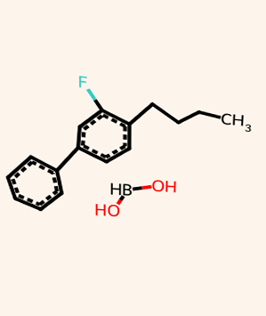 CCCCc1ccc(-c2ccccc2)cc1F.OBO